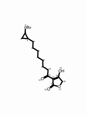 CCCCC1CC1CCCCCCCC(=O)C1=C(O)COC1=O